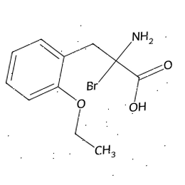 CCOc1ccccc1CC(N)(Br)C(=O)O